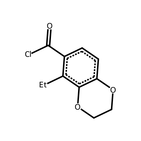 CCc1c(C(=O)Cl)ccc2c1OCCO2